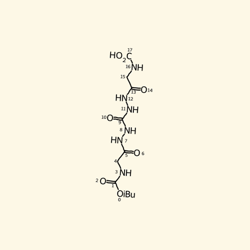 CC(C)COC(=O)NCC(=O)NNC(=O)NNC(=O)CNC(=O)O